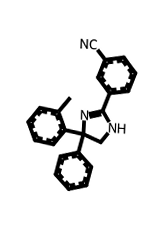 Cc1ccccc1C1(c2ccccc2)CNC(c2cccc(C#N)c2)=N1